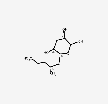 CC1O[C@@H](O[C@H](C)CCC(=O)O)[C@@H](O)C[C@H]1O